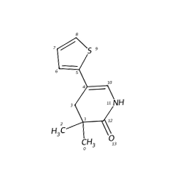 CC1(C)CC(c2cccs2)=CNC1=O